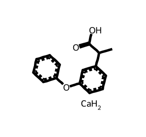 CC(C(=O)O)c1cccc(Oc2ccccc2)c1.[CaH2]